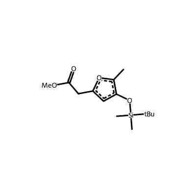 COC(=O)Cc1cc(O[Si](C)(C)C(C)(C)C)c(C)o1